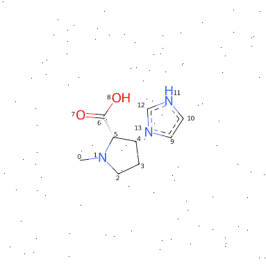 CN1CCC[C@H]1C(=O)O.c1c[nH]cn1